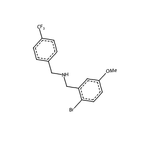 COc1ccc(Br)c(CNCc2ccc(C(F)(F)F)cc2)c1